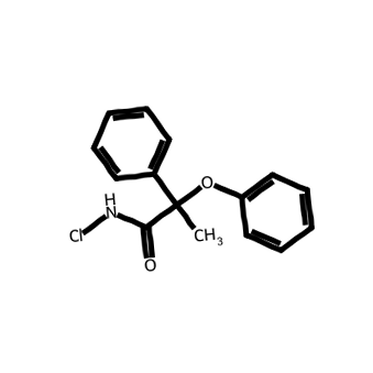 CC(Oc1ccccc1)(C(=O)NCl)c1ccccc1